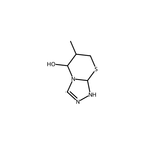 CC1CSC2NN=[C]N2C1O